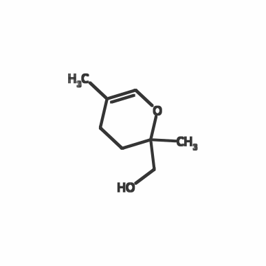 CC1=COC(C)(CO)CC1